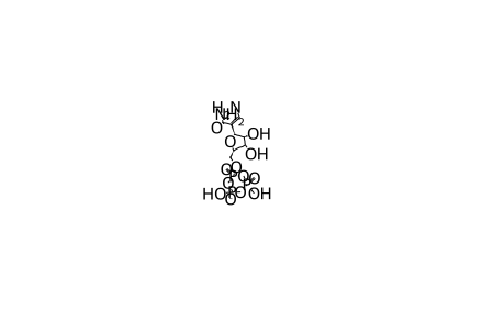 N/C=C(\C(N)=O)[C@@H]1O[C@H](COP2(=O)OP(=O)(O)OP(=O)(O)O2)C(O)[C@@H]1O